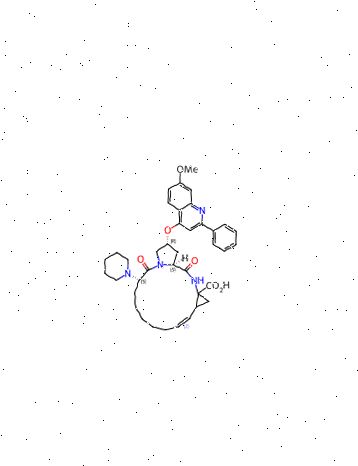 COc1ccc2c(O[C@@H]3C[C@H]4C(=O)NC5(C(=O)O)CC5/C=C\CCCCC[C@H](N5CCCCC5)C(=O)N4C3)cc(-c3ccccc3)nc2c1